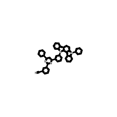 N#Cc1cccc(-c2nc(-c3ccccc3)cc(-c3cccc(-n4c5ccccc5c5ccc6c(c7ccccc7n6-c6ccccc6)c54)c3)n2)c1